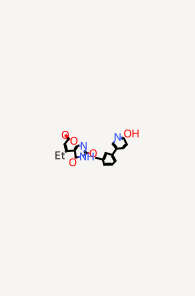 CCc1cc(=O)oc2nc(OCc3cccc(-c4ccc(O)nc4)c3)[nH]c(=O)c12